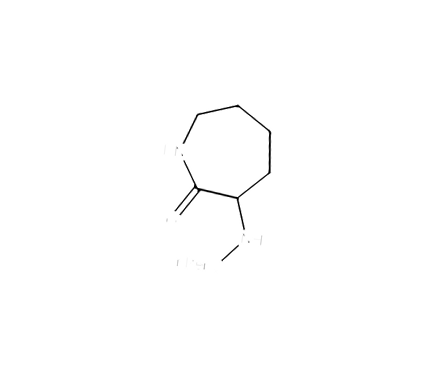 CCCCCNC1CCCCNC1=O